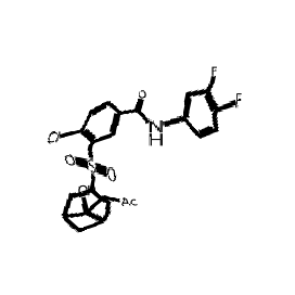 CC(=O)CC1(O)C2CC1CC(S(=O)(=O)c1cc(C(=O)Nc3ccc(F)c(F)c3)ccc1Cl)C2